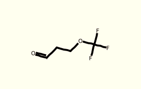 O=[C]CCOC(F)(F)F